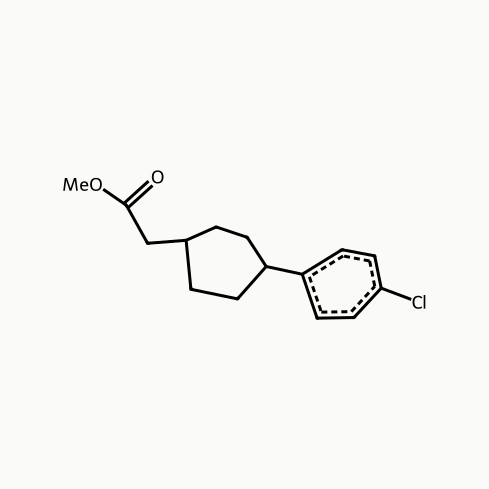 COC(=O)CC1CCC(c2ccc(Cl)cc2)CC1